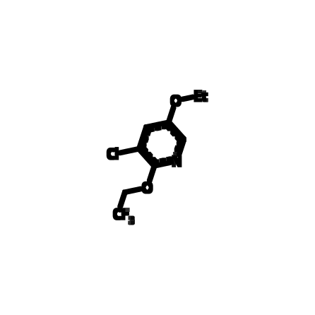 CCOc1cnc(OCC(F)(F)F)c(Cl)c1